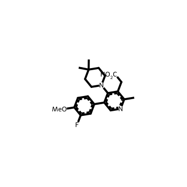 COc1ccc(-c2cnc(C)c(CC(=O)O)c2N2CCC(C)(C)CC2)cc1F